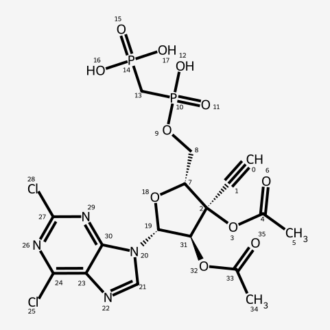 C#C[C@@]1(OC(C)=O)[C@@H](COP(=O)(O)CP(=O)(O)O)O[C@@H](n2cnc3c(Cl)nc(Cl)nc32)[C@@H]1OC(C)=O